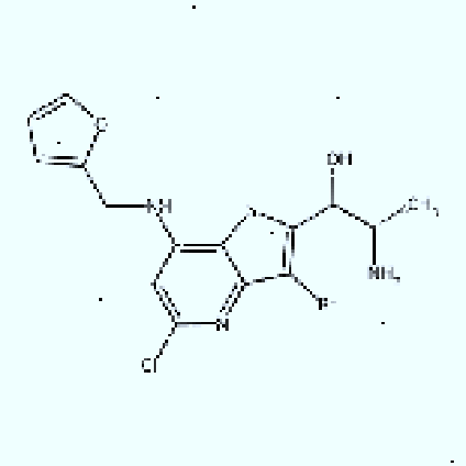 C[C@H](N)C(O)c1sc2c(NCc3ccco3)cc(Cl)nc2c1Br